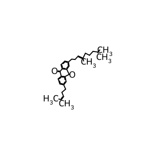 CC(C)=CCCc1ccc2c(c1)C(=O)c1cc(CC/C=C(\C)CCCC(C)C)ccc1C2=O